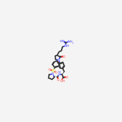 N=C(N)NCCCC1CCN(c2ccc(C[C@H](NC(=O)[C@@H]3CCCN3S(=O)(=O)c3ccccc3)C(=O)O)cc2)C1=O